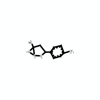 N#CC12CC(c3ccc(C(F)(F)F)cc3)ON1O2